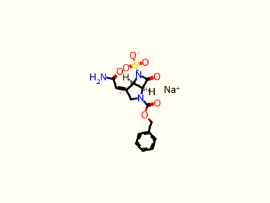 NC(=O)/C=C1/CN(C(=O)OCc2ccccc2)[C@@H]2C(=O)N(S(=O)(=O)[O-])[C@H]12.[Na+]